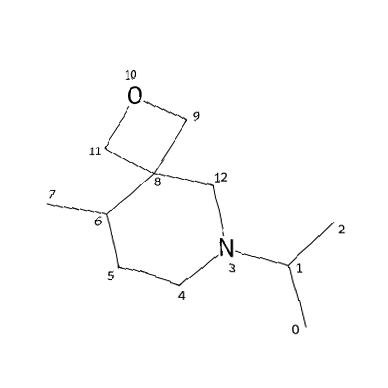 CC(C)N1CCC(C)C2(COC2)C1